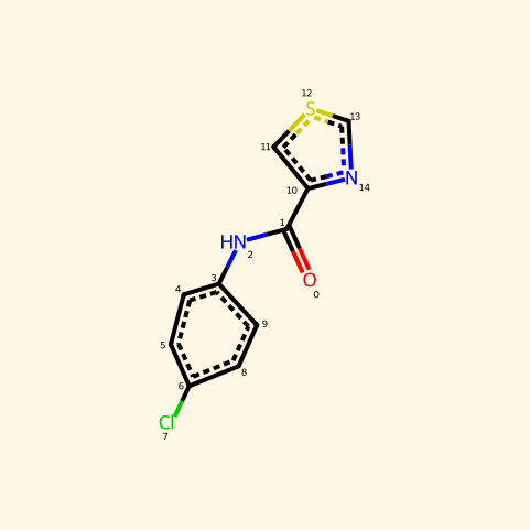 O=C(Nc1ccc(Cl)cc1)c1cscn1